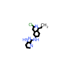 C=Cc1nc(Cl)cc2cc(Nc3n[nH]c4cccnc34)ccc12